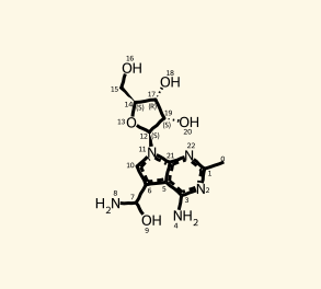 Cc1nc(N)c2c(C(N)O)cn([C@H]3O[C@@H](CO)[C@H](O)[C@@H]3O)c2n1